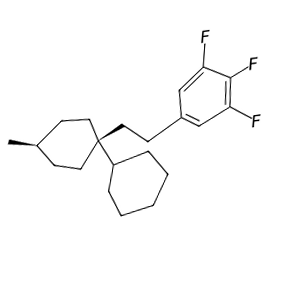 C[C@H]1CC[C@](CCc2cc(F)c(F)c(F)c2)(C2CCCCC2)CC1